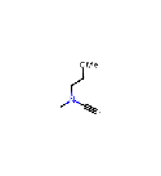 [C]#CN(C)CCOC